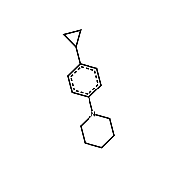 c1cc(N2CCCCC2)ccc1C1CC1